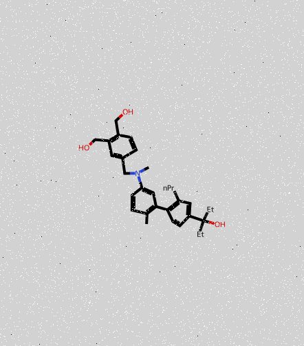 CCCc1cc(C(O)(CC)CC)ccc1-c1cc(N(C)Cc2ccc(CO)c(CO)c2)ccc1C